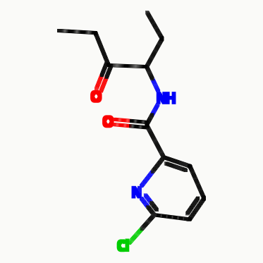 CCC(=O)C(CC)NC(=O)c1cccc(Cl)n1